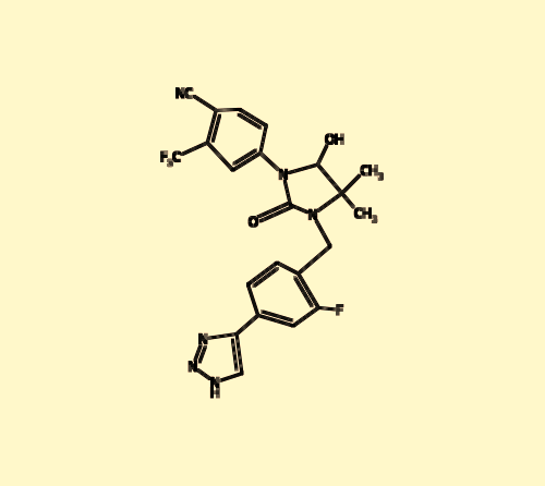 CC1(C)C(O)N(c2ccc(C#N)c(C(F)(F)F)c2)C(=O)N1Cc1ccc(-c2c[nH]nn2)cc1F